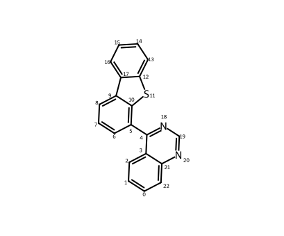 c1ccc2c(-c3cccc4c3sc3ccccc34)ncnc2c1